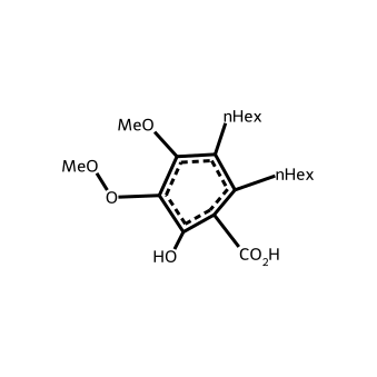 CCCCCCc1c(CCCCCC)c(C(=O)O)c(O)c(OOC)c1OC